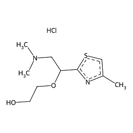 Cc1csc(C(CN(C)C)OCCO)n1.Cl